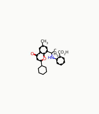 Cc1cc(C(C)Nc2ccccc2C(=O)O)c2oc(C3CCCCC3)cc(=O)c2c1